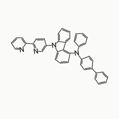 c1ccc(-c2ccc(N(c3ccccc3)c3cccc4c3c3ccccc3n4-c3ccc(-c4ccccn4)nc3)cc2)cc1